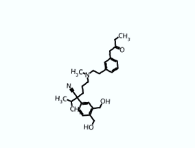 CCC(=O)Cc1cccc(CCN(C)CCCC(C#N)(c2ccc(CO)c(CO)c2)C(C)C)c1